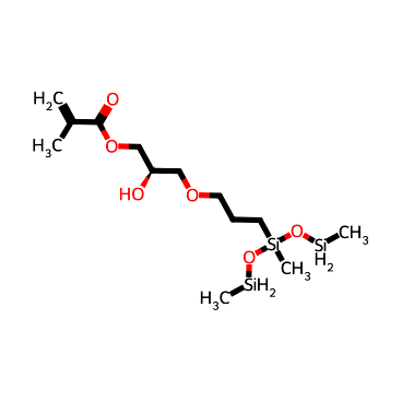 C=C(C)C(=O)OC[C@H](O)COCCC[Si](C)(O[SiH2]C)O[SiH2]C